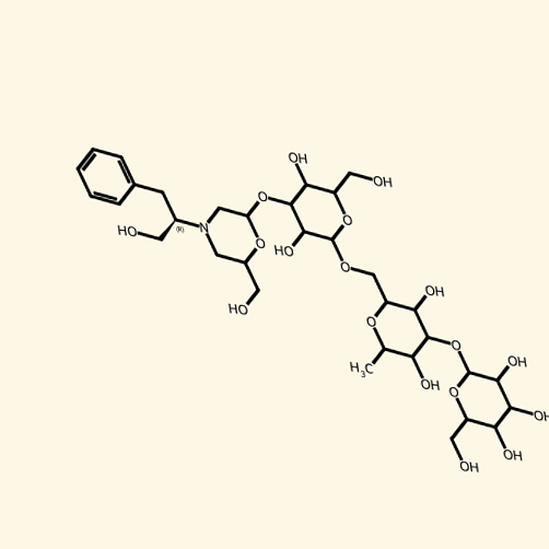 CC1OC(COC2OC(CO)C(O)C(OC3CN([C@@H](CO)Cc4ccccc4)CC(CO)O3)C2O)C(O)C(OC2OC(CO)C(O)C(O)C2O)C1O